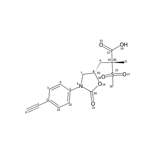 C#Cc1ccc(N2C[C@H](C[C@](C)(C(=O)O)S(C)(=O)=O)OC2=O)cc1